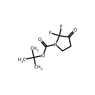 CC(C)(C)OC(=O)N1CCC(=O)C1(F)F